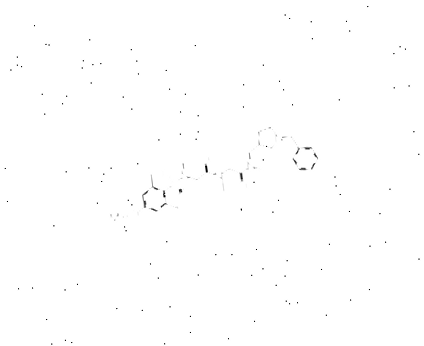 COc1cc(C)c(S(=O)(=O)N(C)CC(=O)NCC(=O)N(C)CC2CCN(Cc3ccccc3)C2)c(I)c1